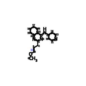 CO/C=C/Cc1nc(Nc2ccncc2)c2ccccc2n1